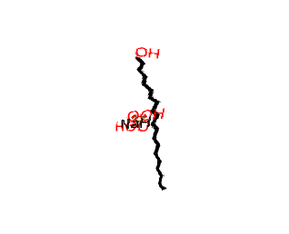 CCCCCCCCCCCCCCCCCCCCO.O=S(=O)(O)O.[NaH]